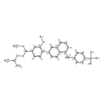 CCN(CCN(C)C)c1cc(CF)c(-c2cnc3c(Nc4ccc(C(F)(F)F)cn4)ccnc3n2)nn1